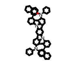 c1ccc(N(c2ccccc2)c2ccc3c4cc5c(cc4n4c6cccc(-c7cccc8ccccc78)c6c2c34)c2ccc(N(c3ccccc3)c3ccccc3)c3c4c(-c6cccc7ccccc67)cccc4n5c23)cc1